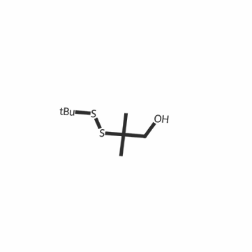 CC(C)(C)SSC(C)(C)CO